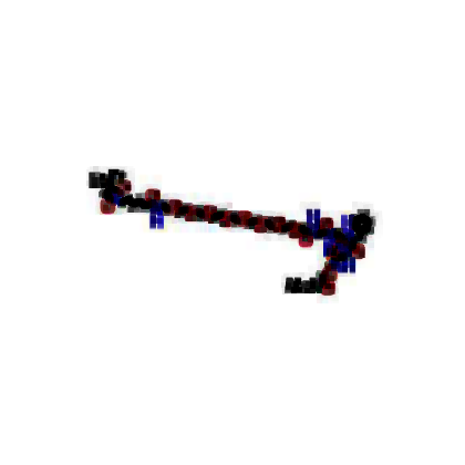 CCC(CC)C1CC(=O)N(CCCCCC(=O)NCCOCCOCCOCCOCCOCCOCCOCCOCC(=O)NCC(=O)NCC(=O)N[C@@H](Cc2ccccc2)C(=O)NCC(=O)NCOCC(=O)NC)C1=O